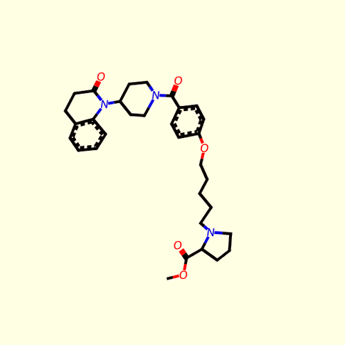 COC(=O)C1CCCN1CCCCCOc1ccc(C(=O)N2CCC(N3C(=O)CCc4ccccc43)CC2)cc1